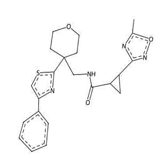 Cc1nc(C2CC2C(=O)NCC2(c3nc(-c4ccccc4)cs3)CCOCC2)no1